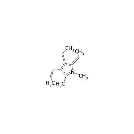 C/C=C\c1c(C)n(C)c(=C/C)/c1=C\C